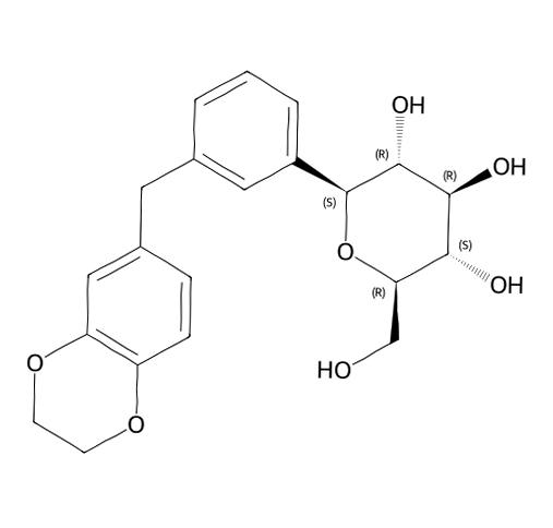 OC[C@H]1O[C@@H](c2cccc(Cc3ccc4c(c3)OCCO4)c2)[C@H](O)[C@@H](O)[C@@H]1O